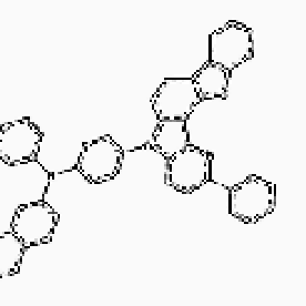 c1ccc(-c2ccc3c(n2)c2c4sc5ccccc5c4ccc2n3-c2ccc(N(c3ccccc3)c3ccc4ccccc4c3)cc2)cc1